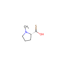 CN1CCC[C@H]1C(O)=S